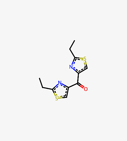 CCc1nc(C(=O)c2csc(CC)n2)cs1